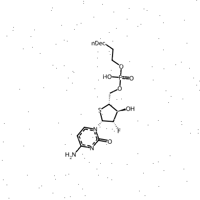 CCCCCCCCCCCCOP(=O)(O)OC[C@H]1S[C@@H](n2ccc(N)nc2=O)[C@@H](F)[C@@H]1O